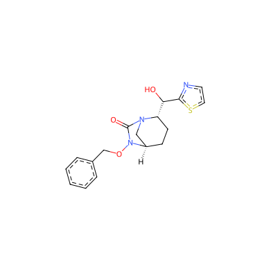 O=C1N2C[C@@H](CC[C@H]2C(O)c2nccs2)N1OCc1ccccc1